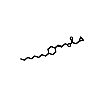 CCCCCCCCC1CCC(/C=C/COC(=O)CC2CC2)CC1